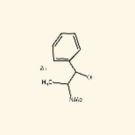 CNC(C)C(O)c1ccccc1.[Zn]